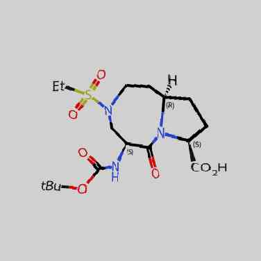 CCS(=O)(=O)N1CC[C@H]2CC[C@@H](C(=O)O)N2C(=O)[C@@H](NC(=O)OC(C)(C)C)C1